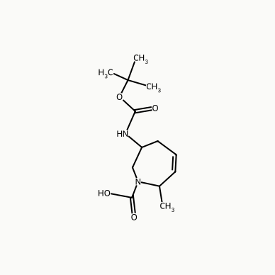 CC1C=CCC(NC(=O)OC(C)(C)C)CN1C(=O)O